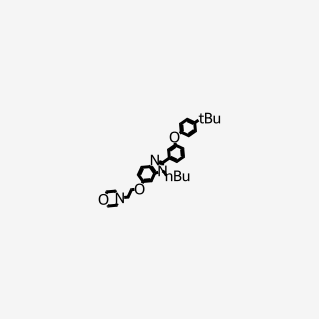 CCCCn1c(-c2cccc(Oc3ccc(C(C)(C)C)cc3)c2)nc2ccc(OCCN3CCOCC3)cc21